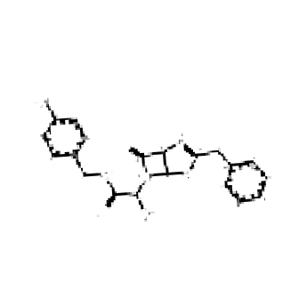 O=C(OCc1ccc([N+](=O)[O-])cc1)C(O)N1C(=O)C2N=C(Cc3ccccc3)SC21